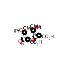 CCOc1cc(N(Cc2cnco2)c2ccc(C(=O)O)cc2)ccc1OC.COc1ccc(N(Cc2cnco2)c2ccc(C(=O)O)cc2)cc1OC(C)C